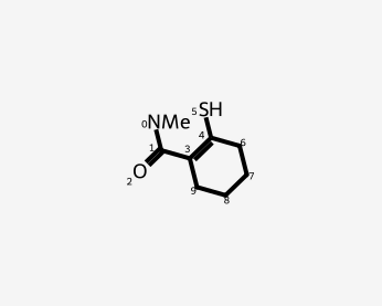 CNC(=O)C1=C(S)CCCC1